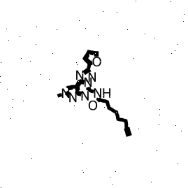 C#CCCCCCC(=O)Nc1nc2nn(C)cc2c2nc(-c3ccco3)nn12